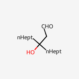 CCCCCCCC(O)(CC=O)CCCCCCC